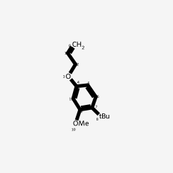 C=CCOc1ccc(C(C)(C)C)c(OC)c1